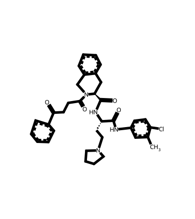 Cc1cc(NC(=O)[C@H](CCN2CCCC2)NC(=O)[C@@H]2Cc3ccccc3CN2C(=O)CCC(=O)c2ccccc2)ccc1Cl